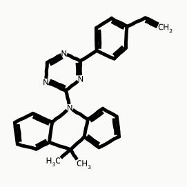 C=Cc1ccc(-c2ncnc(N3c4ccccc4C(C)(C)c4ccccc43)n2)cc1